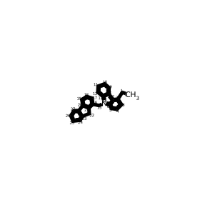 CCc1cccc2c1c1ccccc1n2Cc1cccc2c1Cc1ccccc1-2